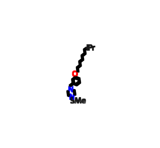 CSN1CCN(Cc2cccc(OCCCCCCCCC(C)C)c2)CC1